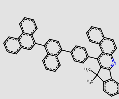 CC1(C)c2ccccc2-c2nc3ccc4ccccc4c3c(-c3ccc(-c4ccc(-c5cc6ccccc6c6ccccc56)c5ccccc45)cc3)c21